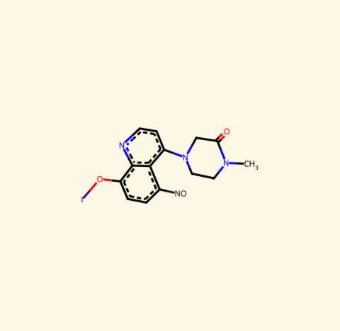 CN1CCN(c2ccnc3c(OI)ccc(N=O)c23)CC1=O